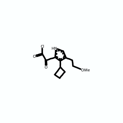 COCCc1c[nH]c(C(=O)C(=O)Cl)c1C1CCC1